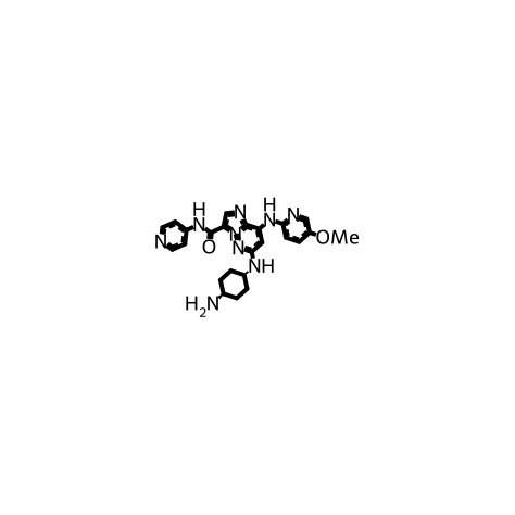 COc1ccc(Nc2cc(N[C@H]3CC[C@H](N)CC3)nn3c(C(=O)Nc4ccncc4)cnc23)nc1